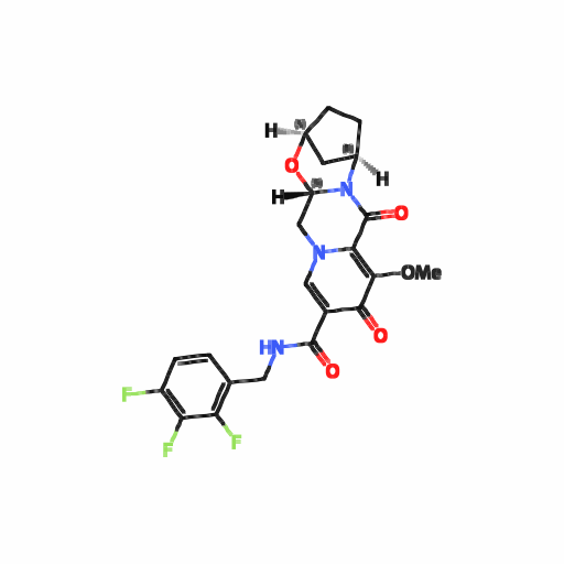 COc1c2n(cc(C(=O)NCc3ccc(F)c(F)c3F)c1=O)C[C@@H]1O[C@H]3CC[C@H](C3)N1C2=O